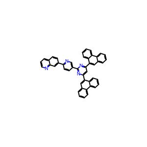 c1cnc2cc(-c3ccc(-c4nc(-c5cc6ccccc6c6ccccc56)cc(-c5cc6ccccc6c6ccccc56)n4)cn3)ccc2c1